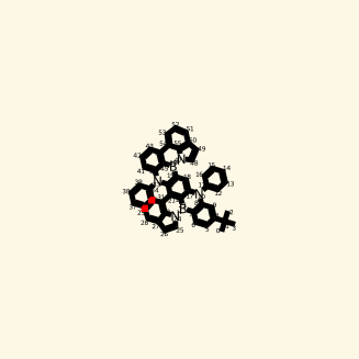 CC(C)(C)c1ccc2c(c1)N(c1ccccc1)c1cc3c(c4c1B2n1ccc2cccc-4c21)N(c1ccccc1)c1cccc2c1B3n1ccc3cccc-2c31